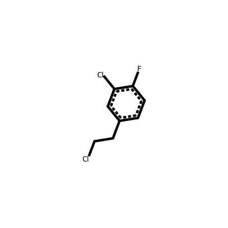 Fc1ccc(CCCl)cc1Cl